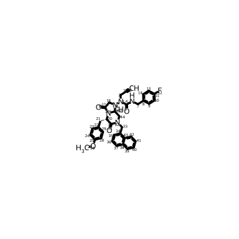 C#CCN(C(=O)NCc1ccc(F)cc1)N1CC(=O)N2[C@@H](Cc3ccc(OC)cc3)C(=O)N(Cc3cccc4ccccc34)C[C@@H]21